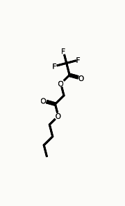 CCCCOC(=O)COC(=O)C(F)(F)F